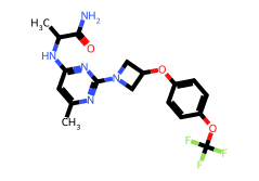 Cc1cc(NC(C)C(N)=O)nc(N2CC(Oc3ccc(OC(F)(F)F)cc3)C2)n1